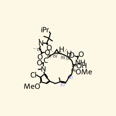 COc1cc2cc(c1Cl)N(C)C(=O)C[C@H](OC(=O)[C@H](C)N(C)C(=O)C(C)(C)CC(C)C)[C@@]1(C)C[C@H]1[C@H](C)[C@@H]1C[C@@](O)(NC(=O)O1)[C@H](OC)/C=C/C=C(\C)C2